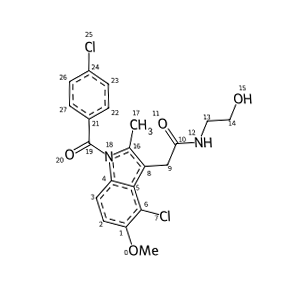 COc1ccc2c(c1Cl)c(CC(=O)NCCO)c(C)n2C(=O)c1ccc(Cl)cc1